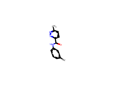 CC(=O)c1cccc(NC(=O)c2ccc(C)nn2)c1